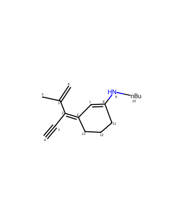 C#C/C(C(=C)C)=C1/C=C(NCCCC)CCC1